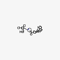 O=C(c1ccc(NSc2cccc3cccnc23)cc1)N1CCC/C=C(/CCc2c(Cl)cc(Cl)cc2CO)CC1